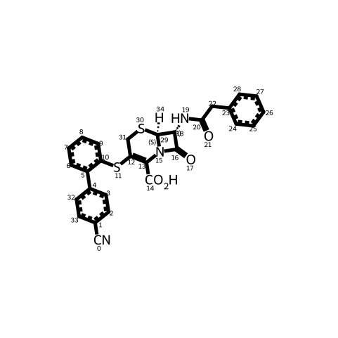 N#Cc1ccc(-c2ccccc2SC2=C(C(=O)O)N3C(=O)[C@@H](NC(=O)Cc4ccccc4)[C@@H]3SC2)cc1